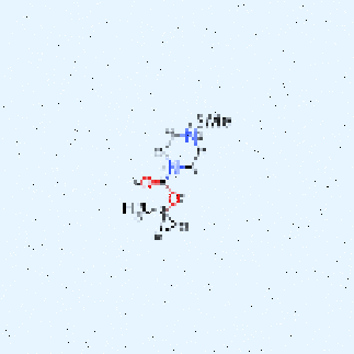 CSN1CCN(C(=O)OC2(C)CC2)CC1